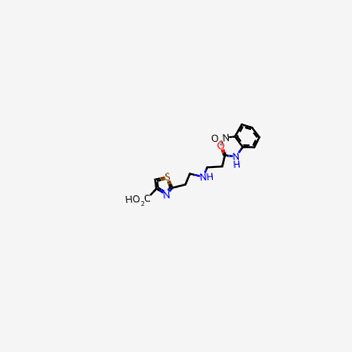 O=C(CCNCCc1nc(C(=O)O)cs1)Nc1ccccc1[N+](=O)[O-]